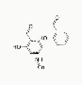 O=Cc1ccccc1O.O=Cc1ccccc1O.[NH]=[Co]